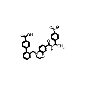 CC(NC(=O)c1ccc2c(c1)OCCN2Cc1ccccc1-c1ccc(C(=O)O)cc1)c1ccc([N+](=O)[O-])cc1